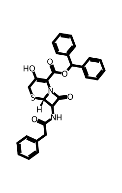 O=C(Cc1ccccc1)NC1C(=O)N2C(C(=O)OC(c3ccccc3)c3ccccc3)=C(O)CS[C@@H]12